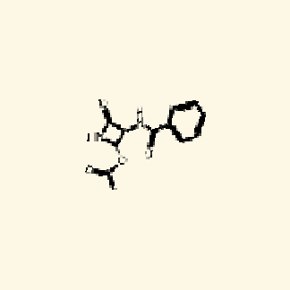 CC(=O)O[C@@H]1NC(=O)C1NC(=O)c1ccccc1